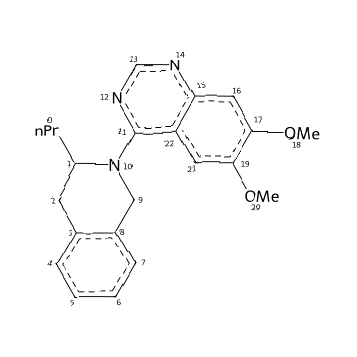 CCCC1Cc2ccccc2CN1c1ncnc2cc(OC)c(OC)cc12